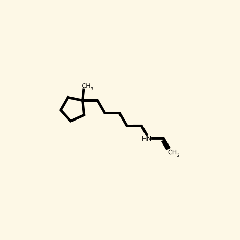 C=CNCCCCCC1(C)CCCC1